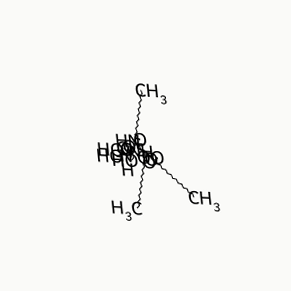 CCCCCCCCCCCCCCCC(=O)N[C@@H](CSCC(COC(=O)CCCCCCCCCCCCCCC)OC(=O)CCCCCCCCCCCCCCC)C(=O)N[C@@H](CO)C(=O)N[C@@H](CO)C(=O)O